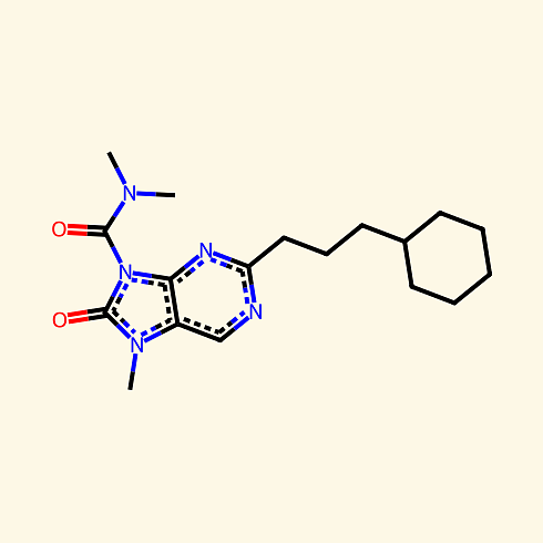 CN(C)C(=O)n1c(=O)n(C)c2cnc(CCCC3CCCCC3)nc21